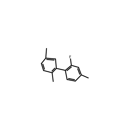 Cc1ccc(-c2cc(C)ccc2C)c(F)c1